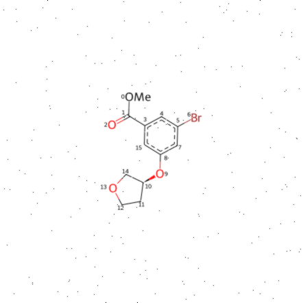 COC(=O)c1cc(Br)cc(O[C@H]2CCOC2)c1